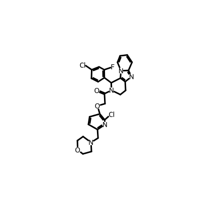 O=C(COc1ccc(CN2CCOCC2)nc1Cl)N1CCc2nc3ccccn3c2C1c1ccc(Cl)cc1F